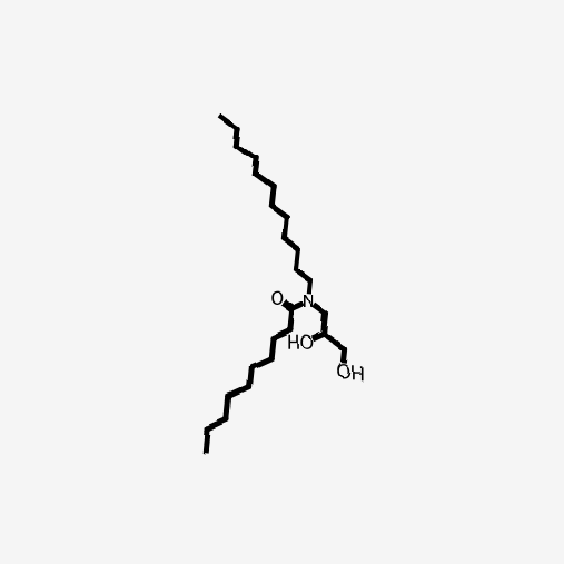 CCCCCCCCCCCCN(CC(O)CO)C(=O)CCCCCCCCC